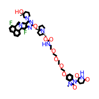 C#Cc1c(F)ccc2cccc(-c3ncc4c(N5CCC[C@@](C)(O)C5)nc(OC[C@@]56CCCN5[C@H](COC(=O)NCCOCCOCCOCCOc5ccc7c(c5)n(C)c(=O)n7C5CCC(=O)NC5=O)CC6)nc4c3F)c12